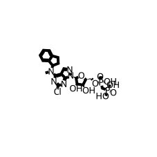 CN(c1nc(Cl)nc2c1cnn2[C@@H]1O[C@H](COP(=O)(O)CP(=O)(O)O)[C@@H](O)[C@H]1O)C1CCc2ccccc21